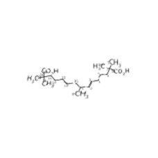 CC(CCCCCC(C)(C)C(=O)O)CCCCCC(C)(C)C(=O)O